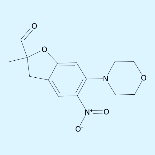 CC1(C=O)Cc2cc([N+](=O)[O-])c(N3CCOCC3)cc2O1